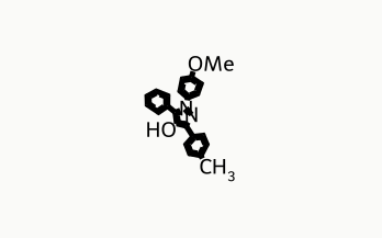 COc1ccc(-n2nc(-c3ccc(C)cc3)c(O)c2-c2ccccc2)cc1